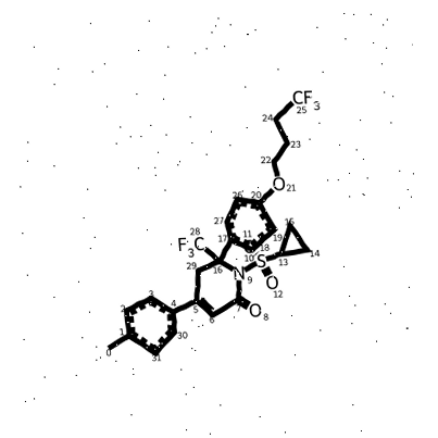 Cc1ccc(C2=CC(=O)N(S(=O)(=O)C3CC3)C(c3ccc(OCCCC(F)(F)F)cc3)(C(F)(F)F)C2)cc1